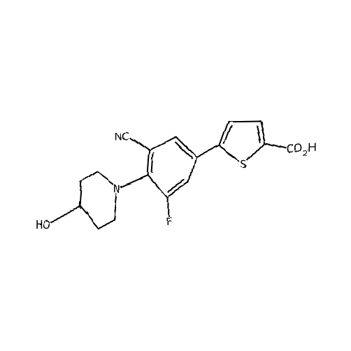 N#Cc1cc(-c2ccc(C(=O)O)s2)cc(F)c1N1CCC(O)CC1